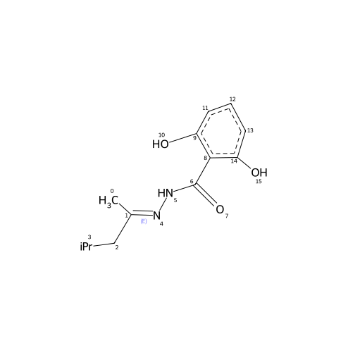 C/C(CC(C)C)=N\NC(=O)c1c(O)cccc1O